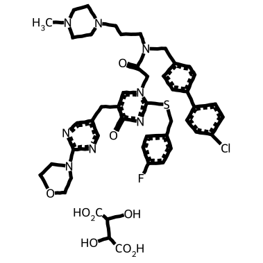 CN1CCN(CCCN(Cc2ccc(-c3ccc(Cl)cc3)cc2)C(=O)Cn2cc(Cc3cnc(N4CCOCC4)nc3)c(=O)nc2SCc2ccc(F)cc2)CC1.O=C(O)C(O)C(O)C(=O)O